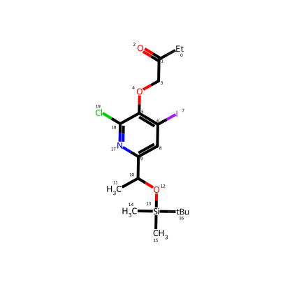 CCC(=O)COc1c(I)cc(C(C)O[Si](C)(C)C(C)(C)C)nc1Cl